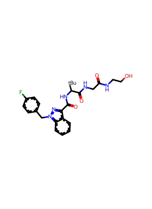 CC(C)(C)C(NC(=O)c1nn(Cc2ccc(F)cc2)c2ccccc12)C(=O)NCC(=O)NCCO